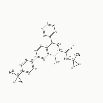 CC(C)C[C@H](OC(c1ccccc1)c1ccc(-c2ccc(C3(C#N)CC3)cc2)cc1)C(=O)NC1(C#N)CC1